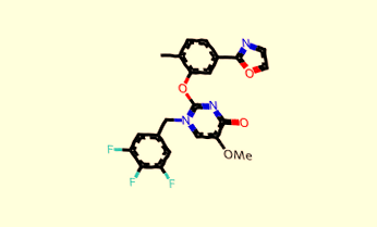 COc1cn(Cc2cc(F)c(F)c(F)c2)c(Oc2cc(-c3ncco3)ccc2C)nc1=O